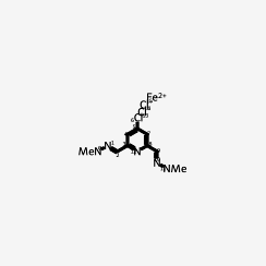 CNN=Cc1cc(Cl)cc(C=NNC)n1.[Cl-].[Cl-].[Fe+2]